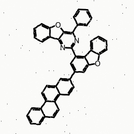 c1ccc(-c2nc(-c3cc(-c4ccc5c(ccc6c7ccccc7ccc56)c4)cc4oc5ccccc5c34)nc3c2oc2ccccc23)cc1